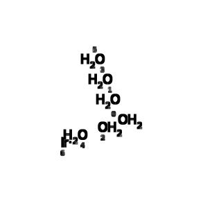 O.O.O.O.O.O.[Ir]